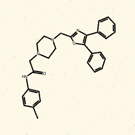 Cc1ccc(NC(=O)CN2CCN(Cc3nc(-c4ccccc4)c(-c4ccccc4)o3)CC2)cc1